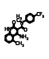 Cc1cccc2[nH]c(=O)c(C(=O)N(C)c3ccc(C(F)(F)F)cc3)c(N)c12